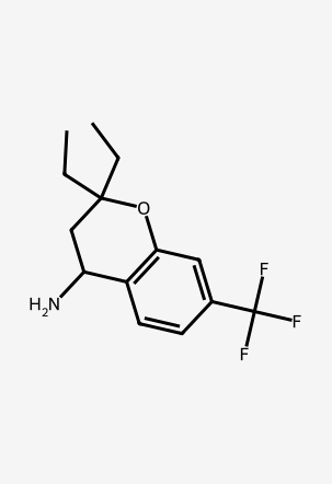 CCC1(CC)CC(N)c2ccc(C(F)(F)F)cc2O1